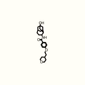 O=C(NC1CCC2CC3CC(O)(C2)CC31)c1ccc(OCCC2CCOCC2)cc1